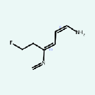 C=N/C(=C/C=C\N)CCF